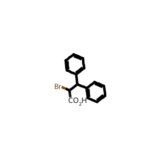 O=C(O)C(Br)C(c1ccccc1)c1ccccc1